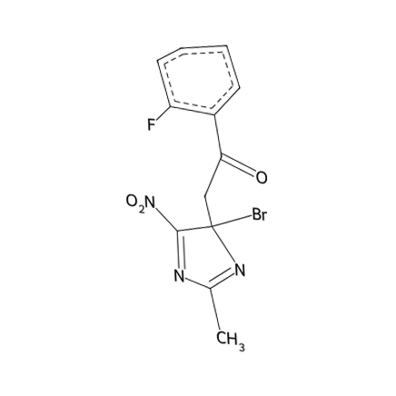 CC1=NC(Br)(CC(=O)c2ccccc2F)C([N+](=O)[O-])=N1